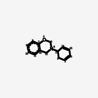 C1=CCC(N2COc3ccccc3C2)C=C1